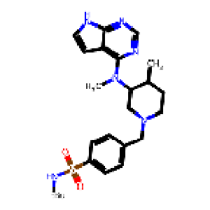 CC1CCN(Cc2ccc(S(=O)(=O)NC(C)(C)C)cc2)CC1N(C)c1ncnc2[nH]ccc12